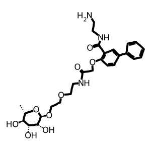 C[C@@H]1O[C@@H](OCCOCCNC(=O)COc2ccc(-c3ccccc3)cc2C(=O)NCCN)[C@H](O)[C@H](O)[C@H]1O